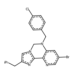 CC(C)Cc1cn2c(n1)-c1ncc(Br)cc1N(Cc1ccc(Cl)cc1)C2